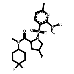 CCN(c1nc(C)ccc1S(=O)(=O)N1CC(F)CC1C(=O)N(C)C1CCC(F)(F)CC1)C(C)C